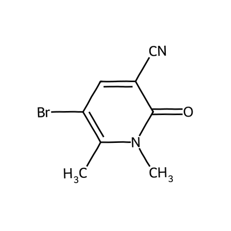 Cc1c(Br)cc(C#N)c(=O)n1C